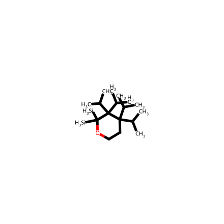 CC(C)C1(C(C)C)CCOC([SiH3])([SiH3])C1(C(C)C)C(C)C